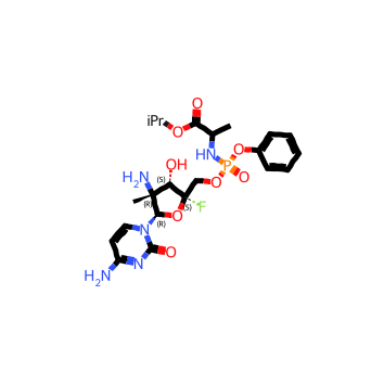 CC(C)OC(=O)C(C)NP(=O)(OC[C@@]1(F)O[C@@H](n2ccc(N)nc2=O)[C@](C)(N)[C@@H]1O)Oc1ccccc1